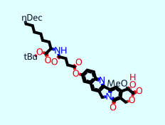 CCCCCCCCCCCCCCCCC(NC(=O)CCC(=O)Oc1ccc2nc3c(cc2c1)Cn1c-3cc2c(c1=O)COC(=O)[C@]2(O)OC)C(=O)OC(C)(C)C